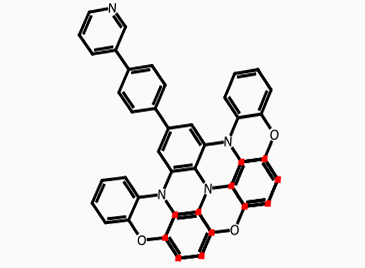 c1cncc(-c2ccc(-c3cc(N4c5ccccc5Oc5ccccc54)c(N4c5ccccc5Oc5ccccc54)c(N4c5ccccc5Oc5ccccc54)c3)cc2)c1